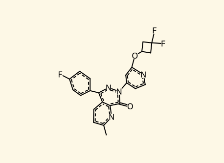 Cc1ccc2c(-c3ccc(F)cc3)nn(-c3ccnc(OC4CC(F)(F)C4)c3)c(=O)c2n1